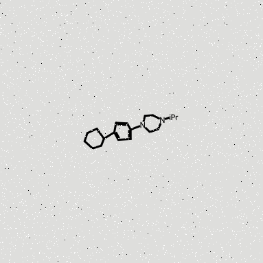 CC(C)N1CCN(c2ccc(C3CCCCC3)cc2)CC1